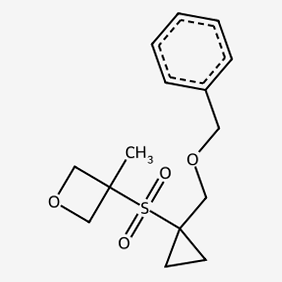 CC1(S(=O)(=O)C2(COCc3ccccc3)CC2)COC1